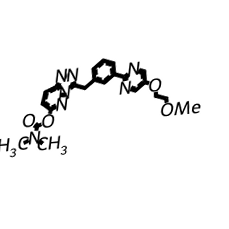 COCCOc1cnc(-c2cccc(Cc3nnc4ccc(OC(=O)N(C)C)nn34)c2)nc1